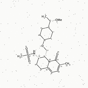 CO[C@@H](C)C1CCC(OC[C@H]2[C@@H](NS(C)(=O)=O)CCc3ccc(C)c(=O)n32)CC1